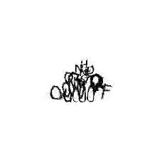 O=C1CCC(C(=O)[O-])(N2OC[C@H](NS(=O)(=O)c3ccc(F)cc3)C2=O)O1.[Na+]